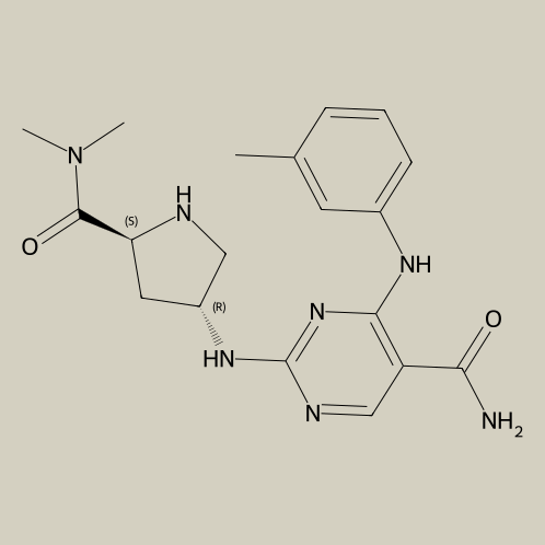 Cc1cccc(Nc2nc(N[C@H]3CN[C@H](C(=O)N(C)C)C3)ncc2C(N)=O)c1